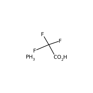 O=C(O)C(F)(F)F.P